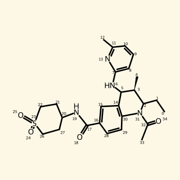 CCC1[C@H](C)C(Nc2cccc(C)n2)c2cc(C(=O)NC3CCS(=O)(=O)CC3)ccc2N1C(C)=O